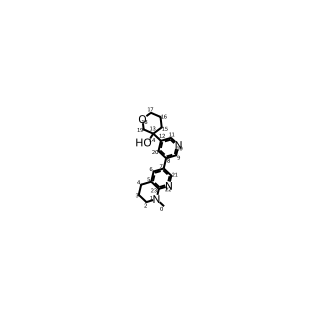 CN1CCCc2cc(-c3cncc(C4(O)CCCOC4)c3)cnc21